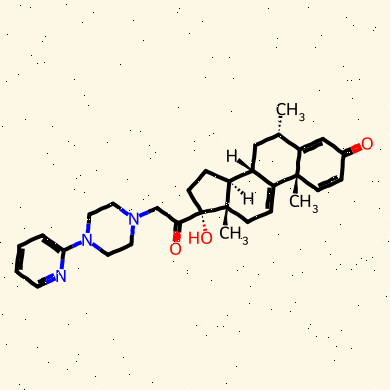 C[C@H]1C[C@@H]2C(=CC[C@@]3(C)[C@H]2CC[C@]3(O)C(=O)CN2CCN(c3ccccn3)CC2)[C@@]2(C)C=CC(=O)C=C12